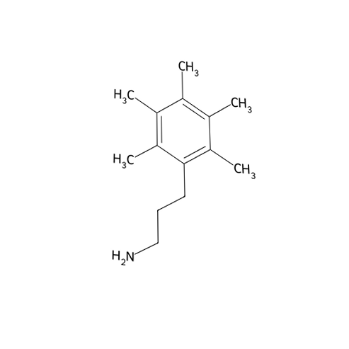 Cc1c(C)c(C)c(CCCN)c(C)c1C